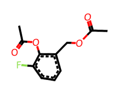 CC(=O)OCc1cccc(F)c1OC(C)=O